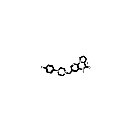 O=C1Nc2cc(CN3CCN(c4ccc(F)cc4)CC3)cnc2N2CCC[C@@H]12